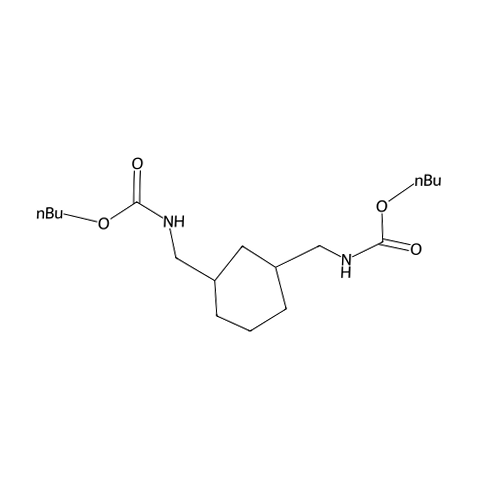 CCCCOC(=O)NCC1CCCC(CNC(=O)OCCCC)C1